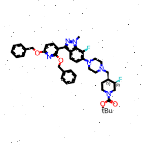 Cn1nc(-c2ccc(OCc3ccccc3)nc2OCc2ccccc2)c2ccc(N3CCN(C[C@@H]4CCN(C(=O)OC(C)(C)C)C[C@@H]4F)CC3)c(F)c21